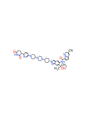 CC(C)(O)c1cc2nn([C@H]3CC[C@H](N4CCN(C5CCN(c6ccc(C7CCC(=O)NC7=O)nc6)CC5)CC4)CC3)cc2cc1NC(=O)c1ccc2cc(C#N)cnn12